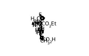 CCOC(=O)C1=C(CN2CC(F)(F)[C@H]3[C@@H]2CCN3CC2CC(C)(C(=O)O)C2)NC(c2nccs2)=N[C@H]1c1cccc(F)c1C